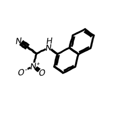 N#CC(Nc1cccc2ccccc12)[N+](=O)[O-]